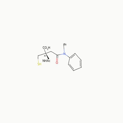 CC(=O)N[C@](CS)(CC(=O)N(c1ccccc1)C(C)C)C(=O)O